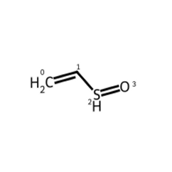 C=C[SH]=O